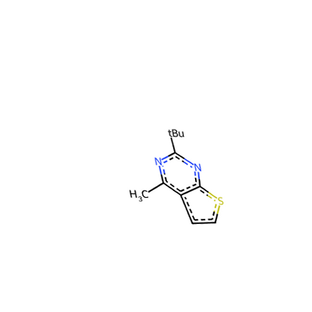 Cc1nc(C(C)(C)C)nc2sccc12